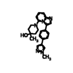 Cn1cc(-c2ccc(-c3cnc4cccc(N5CCC(C)(O)CC5)n34)cc2)cn1